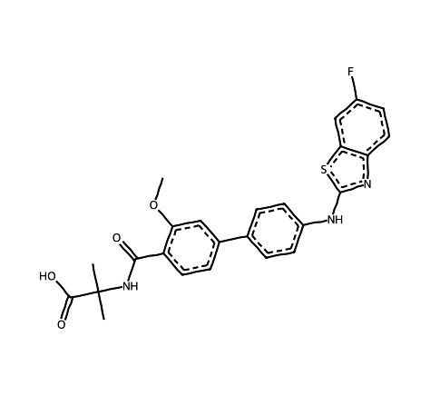 COc1cc(-c2ccc(Nc3nc4ccc(F)cc4s3)cc2)ccc1C(=O)NC(C)(C)C(=O)O